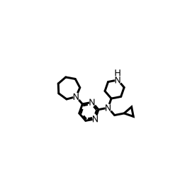 c1cc(N2CCCCCC2)nc(N(CC2CC2)C2CCNCC2)n1